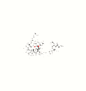 [3H]C(N[C@@H](CCCNC(=N)NC(=O)[C@@H](NC(=O)[C@H](CC(=O)O)NC(=O)[C@@H]1CCCN1C(=O)[C@H](C)NC(=O)[C@H](CO)NC(=O)[C@@H](NC(=O)[C@@H](NC(=O)CNC(=O)CCCC(C)=O)C(C)C)[C@@H](C)O)[C@@H](C)O)C(=O)O)[C@]1(O)C[C@H](O)[C@@H](NC(C)=O)[C@H]([C@H](O)[C@H](O)CO)O1